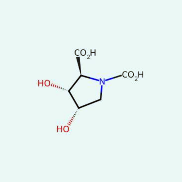 O=C(O)[C@@H]1[C@@H](O)[C@@H](O)CN1C(=O)O